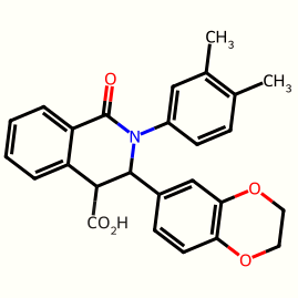 Cc1ccc(N2C(=O)c3ccccc3C(C(=O)O)C2c2ccc3c(c2)OCCO3)cc1C